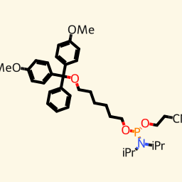 COc1ccc(C(OCCCCCCOP(OCCC#N)N(C(C)C)C(C)C)(c2ccccc2)c2ccc(OC)cc2)cc1